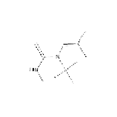 C=C(BC)N(C=C(C)C)C(C)(C)C